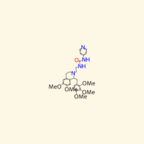 COc1cc2c(cc1OC)C(Cc1ccc(OC)c(OC)c1OC)N(CCNC(=O)Nc1ccncc1)CC2